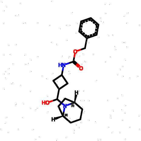 O=C(NC1CC(C(O)N2[C@@H]3CCC[C@H]2CC3)C1)OCc1ccccc1